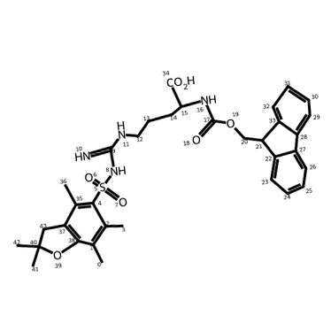 Cc1c(C)c(S(=O)(=O)NC(=N)NCCCC(NC(=O)OCC2c3ccccc3-c3ccccc32)C(=O)O)c(C)c2c1OC(C)(C)C2